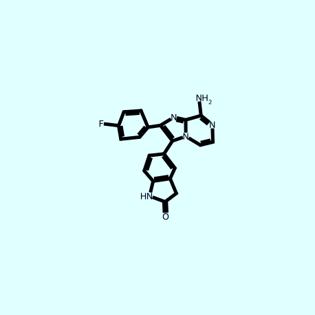 Nc1nccn2c(-c3ccc4c(c3)CC(=O)N4)c(-c3ccc(F)cc3)nc12